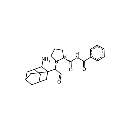 NC1C2CC3CC(C2)CC1(C(C=O)N1CCC[C@H]1C(=O)NC(=O)c1ccccc1)C3